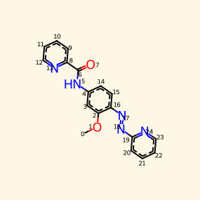 COc1cc(NC(=O)c2ccccn2)ccc1N=Nc1ccccn1